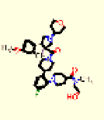 COC1=CC=C([C@@H]2CN(C3CCOCC3)C[C@@]2(I)C(=O)N2CCC(c3ccc(F)cc3N3CCC(C(=O)N(C)CCO)CC3)CC2)C(C)C1